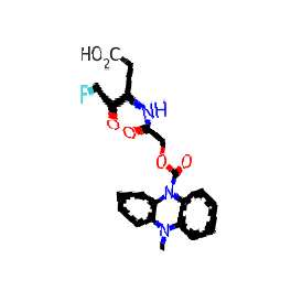 CN1c2ccccc2N(C(=O)OCC(=O)NC(CC(=O)O)C(=O)CF)c2ccccc21